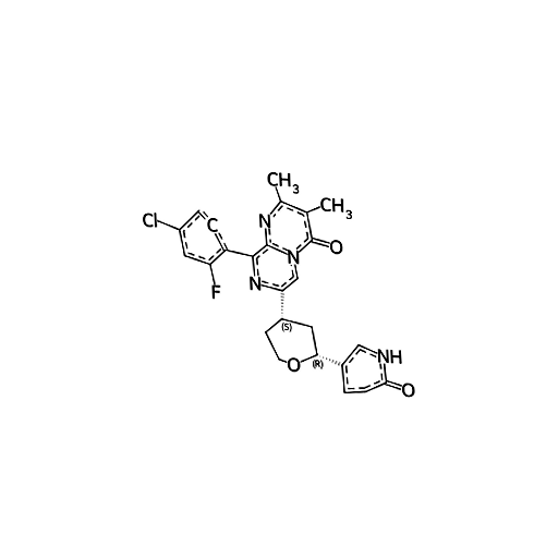 Cc1nc2c(-c3ccc(Cl)cc3F)nc([C@H]3CCO[C@@H](c4ccc(=O)[nH]c4)C3)cn2c(=O)c1C